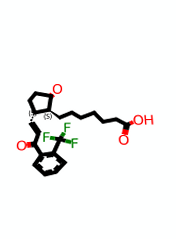 O=C(O)CCCCCC[C@@H]1C(=O)CC[C@H]1C=CC(=O)c1ccccc1C(F)(F)F